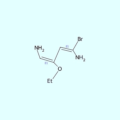 CCOC(/C=C(\N)Br)=C/N